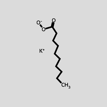 CCCCCCCCCC(=O)O[O-].[K+]